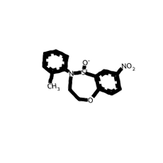 Cc1ccccc1N1CCOc2ccc([N+](=O)[O-])cc2[S+]1[O-]